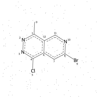 Cc1nnc(Cl)c2cc(Br)ncc12